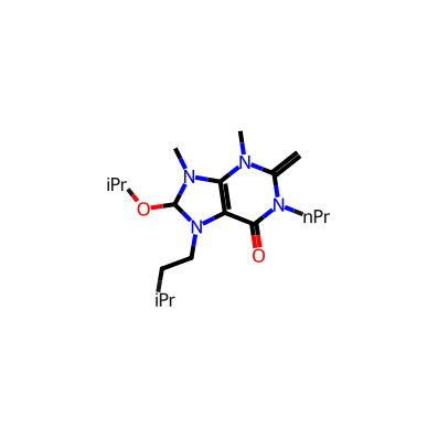 C=C1N(C)C2=C(C(=O)N1CCC)N(CCC(C)C)C(OC(C)C)N2C